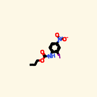 CCCOC(=O)Nc1ccc([N+](=O)[O-])cc1I